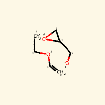 C=COCC.[O]CC1CO1